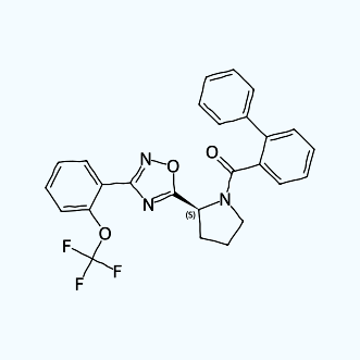 O=C(c1ccccc1-c1ccccc1)N1CCC[C@H]1c1nc(-c2ccccc2OC(F)(F)F)no1